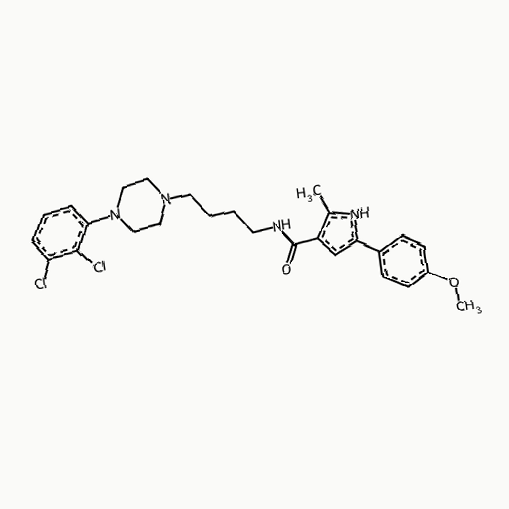 COc1ccc(-c2cc(C(=O)NCCCCN3CCN(c4cccc(Cl)c4Cl)CC3)c(C)[nH]2)cc1